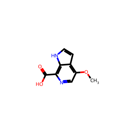 COc1cnc(C(=O)O)c2[nH]ccc12